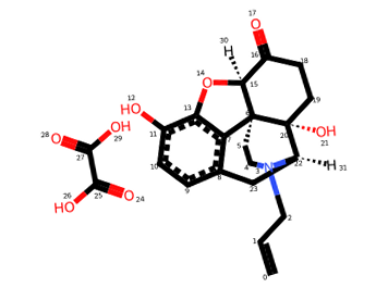 C=CCN1CC[C@]23c4c5ccc(O)c4O[C@H]2C(=O)CC[C@@]3(O)[C@H]1C5.O=C(O)C(=O)O